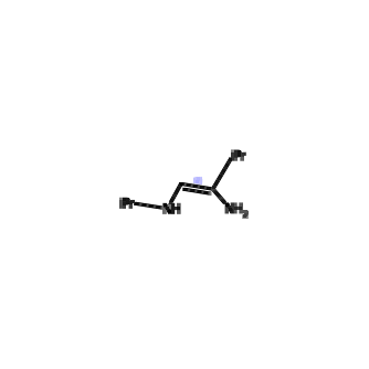 CC(C)N/C=C(\N)C(C)C